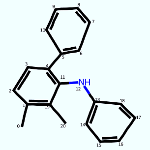 Cc1ccc(-c2ccccc2)c(Nc2ccccc2)c1C